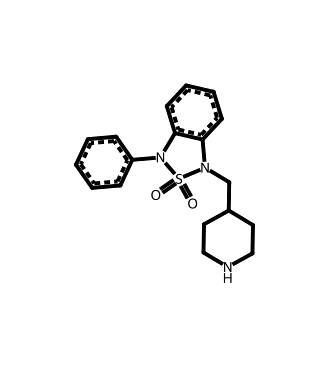 O=S1(=O)N(CC2CCNCC2)c2ccccc2N1c1ccccc1